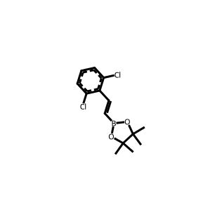 CC1(C)OB(C=Cc2c(Cl)cccc2Cl)OC1(C)C